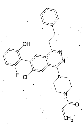 C=CC(=O)N1CCN(c2nnc(CCc3ccccc3)c3cc(-c4c(O)cccc4F)c(Cl)cc23)CC1